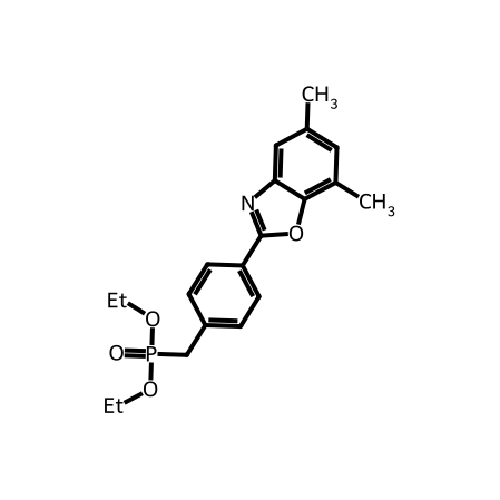 CCOP(=O)(Cc1ccc(-c2nc3cc(C)cc(C)c3o2)cc1)OCC